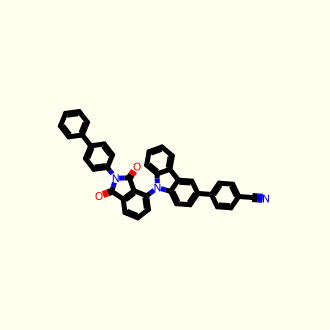 N#Cc1ccc(-c2ccc3c(c2)c2ccccc2n3-c2cccc3c2C(=O)N(c2ccc(-c4ccccc4)cc2)C3=O)cc1